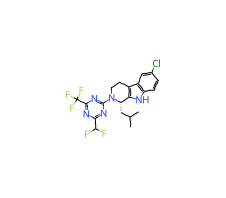 CC(C)C[C@H]1c2[nH]c3ccc(Cl)cc3c2CCN1c1nc(C(F)F)nc(C(F)(F)F)n1